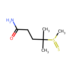 CS(=S)C(C)(C)CCC(N)=O